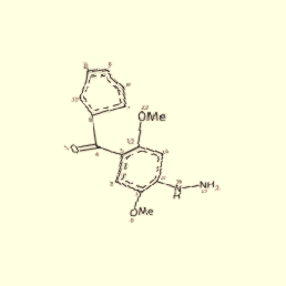 COc1cc(C(=O)c2ccccc2)c(OC)cc1NN